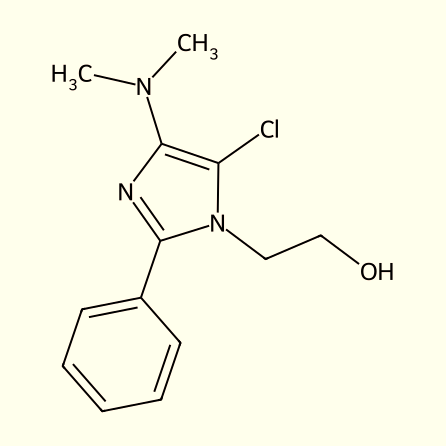 CN(C)c1nc(-c2ccccc2)n(CCO)c1Cl